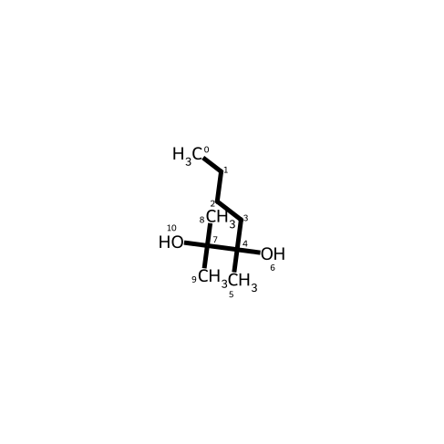 CCCCC(C)(O)C(C)(C)O